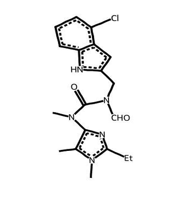 CCc1nc(N(C)C(=O)N(C=O)Cc2cc3c(Cl)cccc3[nH]2)c(C)n1C